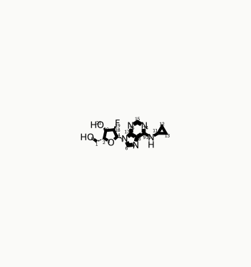 OC[C@H]1O[C@@H](n2cnc3c(NC4CC4)ncnc32)[C@H](F)[C@@H]1O